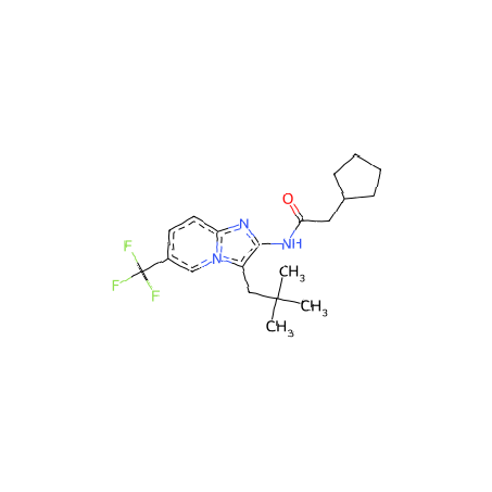 CC(C)(C)Cc1c(NC(=O)CC2CCCC2)nc2ccc(C(F)(F)F)cn12